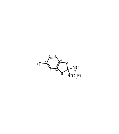 [C-]#[N+]C1(C(=O)OCC)Cc2ccc(F)cc2C1